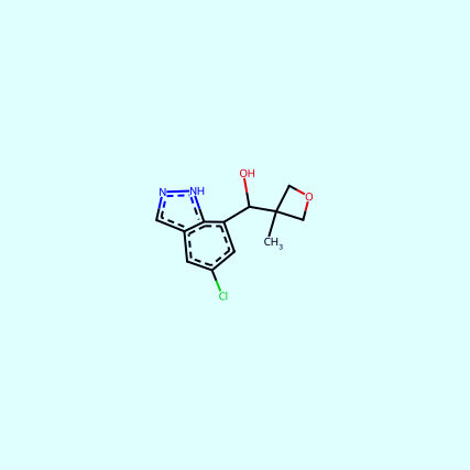 CC1(C(O)c2cc(Cl)cc3cn[nH]c23)COC1